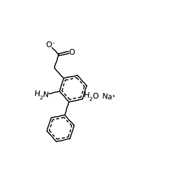 Nc1c(CC(=O)[O-])cccc1-c1ccccc1.O.[Na+]